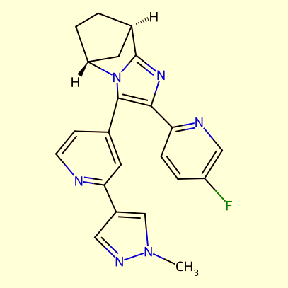 Cn1cc(-c2cc(-c3c(-c4ccc(F)cn4)nc4n3[C@@H]3CC[C@@H]4C3)ccn2)cn1